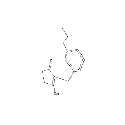 CCCc1cccc(CC2=C(O)CCC2=O)c1